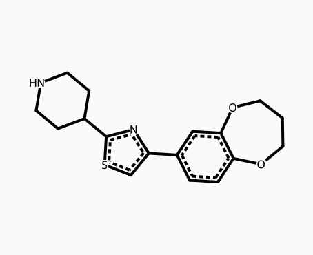 c1cc2c(cc1-c1csc(C3CCNCC3)n1)OCCCO2